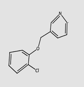 Clc1ccccc1OCc1cc[c]nc1